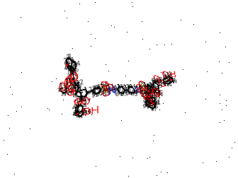 CCC(CC(C)(CC(C)(CC(C)(C)C(=O)OC1(C)C2CC3CC(C2)CC1C3)C(=O)OC1CCOC1=O)C(=O)OC12CC3CC(CC(O)(C3)C1)C2)c1ccc(S(=O)(=O)ON=C2CCC(C3CCC(=NOS(=O)(=O)c4ccc(C(CC)CC(C)(CC(C)(CC(C)(C)C(=O)OC5(C)C6CC7CC(C6)CC5C7)C(=O)OC5CCOC5=O)C(=O)OC56CC7CC(CC(O)(C7)C5)C6)cc4)CC3)CC2)cc1